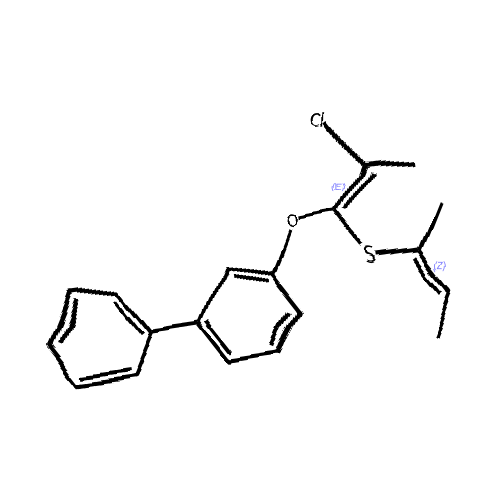 C/C=C(/C)S/C(Oc1cccc(-c2ccccc2)c1)=C(\C)Cl